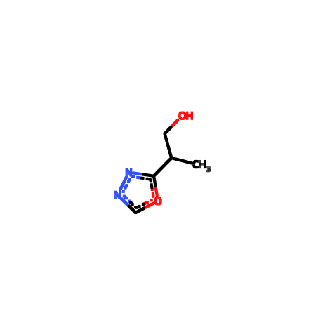 CC(CO)c1nnco1